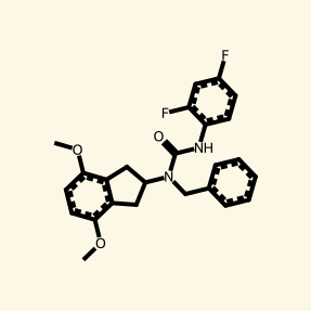 COc1ccc(OC)c2c1CC(N(Cc1ccccc1)C(=O)Nc1ccc(F)cc1F)C2